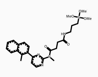 CO[Si](CCCNC(=O)CCC(=O)N(C)c1nccc(-c2ccc3ccccc3c2C)n1)(OC)OC